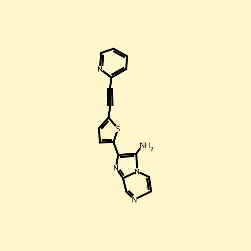 Nc1c(-c2ccc(C#Cc3ccccn3)s2)nc2cnccn12